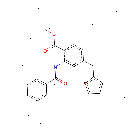 COC(=O)c1ccc(Cc2cccs2)cc1NC(=O)c1ccccc1